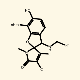 CCCCCCc1c(O)ccc2c1OC1(C(Cl)=C(Cl)C(=O)N1C)C2NCC(C)C